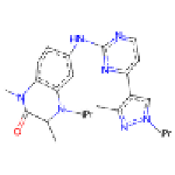 Cc1nn(C(C)C)cc1-c1ccnc(Nc2ccc3c(c2)N(C(C)C)C(C)C(=O)N3C)n1